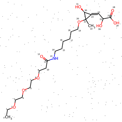 CCOCCOCCOCCC(=O)NCCCCCCOC1(C)C(=CC(O)C(=O)O)[C@@H]1O